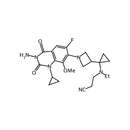 CCN(CCC#N)C1(C2CN(c3c(F)cc4c(=O)n(N)c(=O)n(C5CC5)c4c3OC)C2)CC1